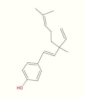 C=CC(C)(/C=C/c1ccc(O)cc1)CCC=C(C)C